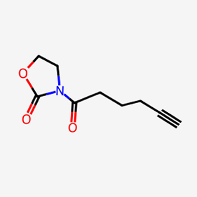 C#CCCCC(=O)N1CCOC1=O